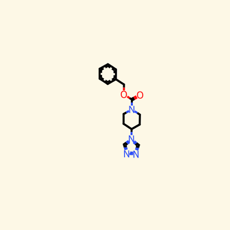 O=C(OCc1ccccc1)N1CCC(n2cnnc2)CC1